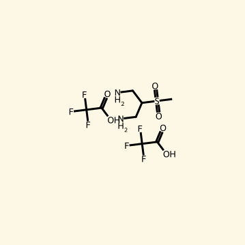 CS(=O)(=O)C(CN)CN.O=C(O)C(F)(F)F.O=C(O)C(F)(F)F